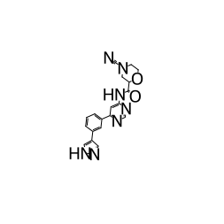 N#CN1CCOC(C(=O)Nc2cc(-c3cccc(-c4cn[nH]c4)c3)ncn2)C1